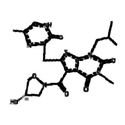 Cc1c[nH]c(=O)c(Cc2sc3c(c2C(=O)N2C[C@H](O)CO2)c(=O)n(C)c(=O)n3CC(C)C)n1